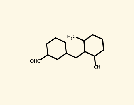 CC1CCCC(C)C1CC1CCCC(C=O)C1